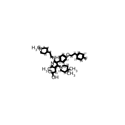 Cc1nc(NCCC2CCN(C)CC2)c(-c2ccc(OCCc3ccc(F)cc3)cc2)c(N2CCC(C)(C)CC2)c1CC(=O)O